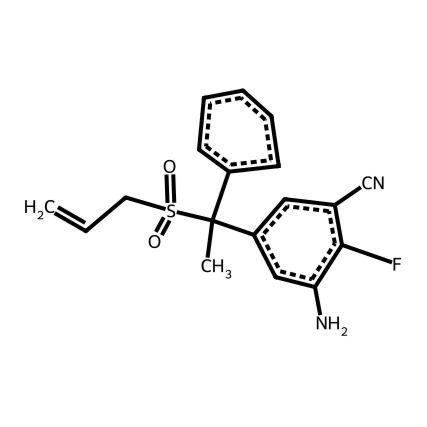 C=CCS(=O)(=O)C(C)(c1ccccc1)c1cc(N)c(F)c(C#N)c1